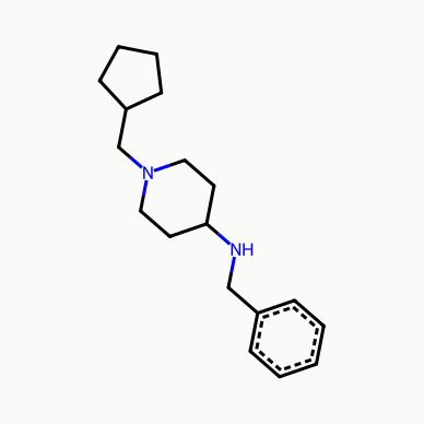 c1ccc(CNC2CCN(CC3CCCC3)CC2)cc1